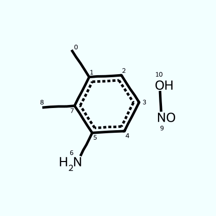 Cc1cccc(N)c1C.O=NO